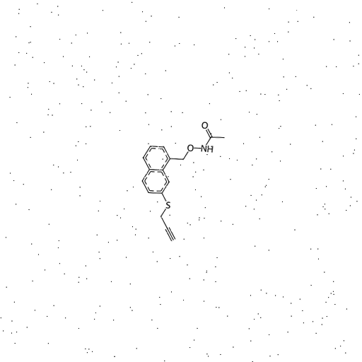 C#CCSc1ccc2cccc(CONC(C)=O)c2c1